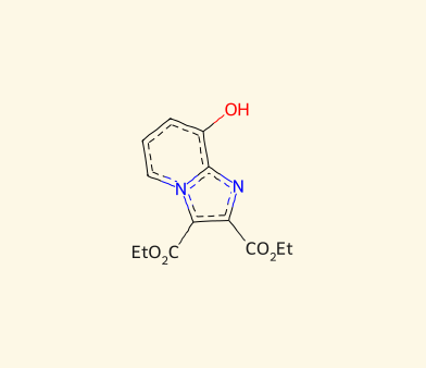 CCOC(=O)c1nc2c(O)cccn2c1C(=O)OCC